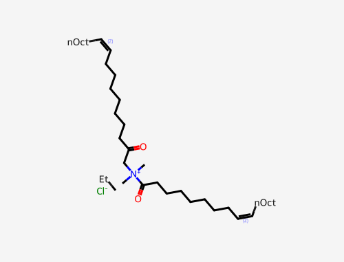 CCC.CCCCCCCC/C=C\CCCCCCCC(=O)C[N+](C)(C)C(=O)CCCCCCC/C=C\CCCCCCCC.[Cl-]